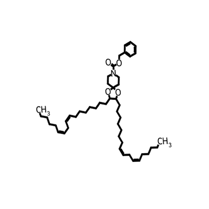 CCCCC/C=C\C/C=C\CCCCCCCC1OC2(CCN(C(=O)OCc3ccccc3)CC2)OC1CCCCCCC/C=C\C/C=C\CCCCC